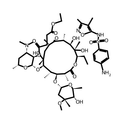 CCOC(=O)CCC(=O)O[C@H]1[C@H](O[C@@H]2[C@@H](C)[C@H](O[C@H]3C[C@@](C)(OC)[C@@H](O)[C@H](C)O3)[C@@H](C)C(=O)O[C@H](CC)[C@@](C)(O)[C@H](O)[C@@H](C)C(=O)[C@H](C)C[C@@]2(C)O)O[C@H](C)C[C@@H]1N(C)C.Cc1noc(NS(=O)(=O)c2ccc(N)cc2)c1C